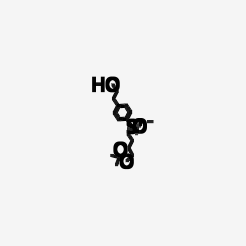 CC1(C)OCC(CC[S@+]([O-])c2ccc(CCO)cc2)O1